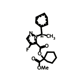 COC(=O)C1(OC(=O)c2c(F)cnn2[C@H](C)c2ccccc2)CCCCC1